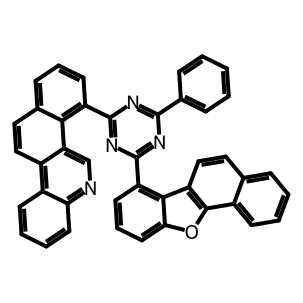 c1ccc(-c2nc(-c3cccc4ccc5c6ccccc6ncc5c34)nc(-c3cccc4oc5c6ccccc6ccc5c34)n2)cc1